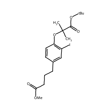 COC(=O)CCCc1ccc(OC(C)(C)C(=O)OC(C)(C)C)c(I)c1